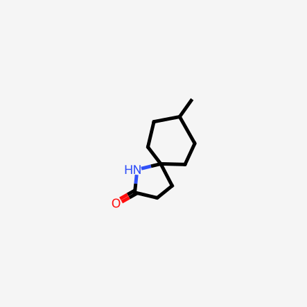 CC1CCC2(CCC(=O)N2)CC1